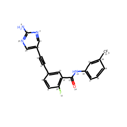 Nc1ncc(C#Cc2ccc(F)c(C(=O)Nc3cccc(C(F)(F)F)c3)c2)cn1